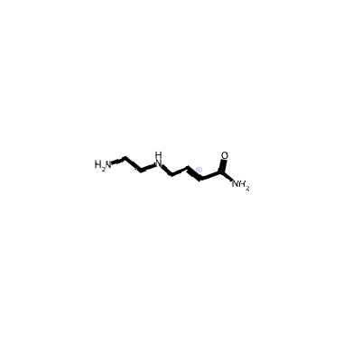 NCCNC/C=C/C(N)=O